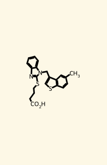 Cc1ccc2scc(Cn3c(SCCCC(=O)O)nc4ccccc43)c2c1